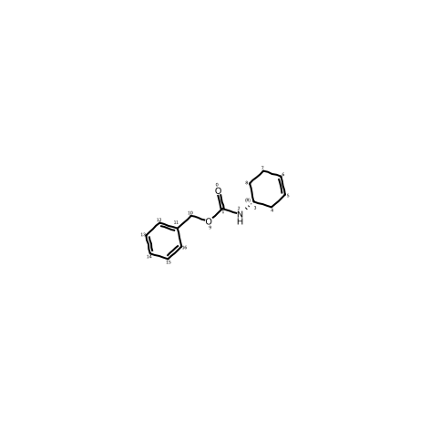 O=C(N[C@H]1CC=CCC1)OCc1ccccc1